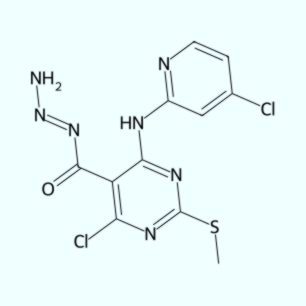 CSc1nc(Cl)c(C(=O)N=NN)c(Nc2cc(Cl)ccn2)n1